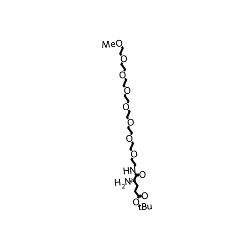 COCCOCCOCCOCCOCCOCCOCCOCCNC(=O)[C@@H](N)CCC(=O)OC(C)(C)C